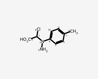 Cc1ccc(N(N)C(Cl)C(=O)O)cc1